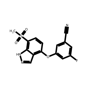 CS(=O)(=O)c1ccc(Oc2cc(F)cc(C#N)c2)c2cn[nH]c12